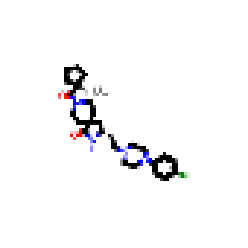 CC(=O)NC1(C(=O)N2CCC3(CC2)C[C@H](CCN2CCN(c4ccc(F)cc4)CC2)NC3=O)CCCC1